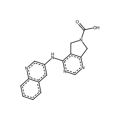 O=C(O)N1Cc2ncnc(Nc3cnc4ccccc4c3)c2C1